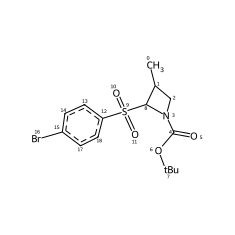 CC1CN(C(=O)OC(C)(C)C)C1S(=O)(=O)c1ccc(Br)cc1